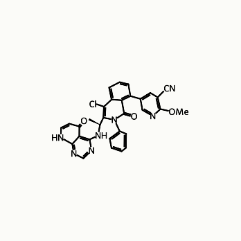 COc1ncc(-c2cccc3c(Cl)c([C@H](C)Nc4ncnc5[nH]ccc(=O)c45)n(-c4ccccc4)c(=O)c23)cc1C#N